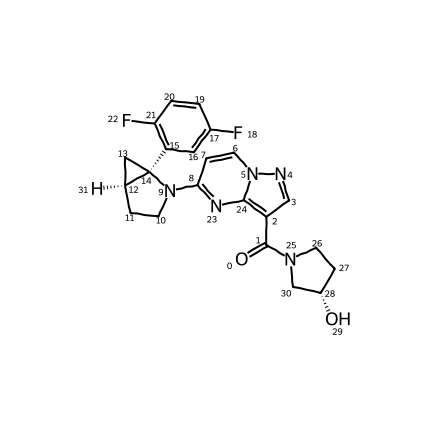 O=C(c1cnn2ccc(N3CC[C@H]4C[C@]43c3cc(F)ccc3F)nc12)N1CC[C@H](O)C1